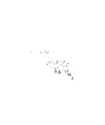 CO[C@H]1C[C@@H](COc2ncc3c4c(c(-c5ncc(F)c6sc(NC(=O)OC(C)(C)C)c(C#N)c56)c(F)c3n2)COC4)N(C)C1